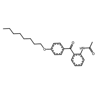 CCCCCCCCOc1ccc(C(=O)c2ccccc2NC(C)=O)cc1